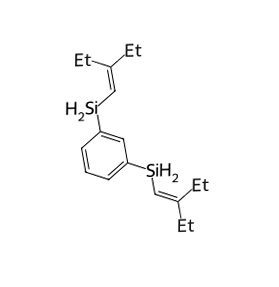 CCC(=C[SiH2]c1cccc([SiH2]C=C(CC)CC)c1)CC